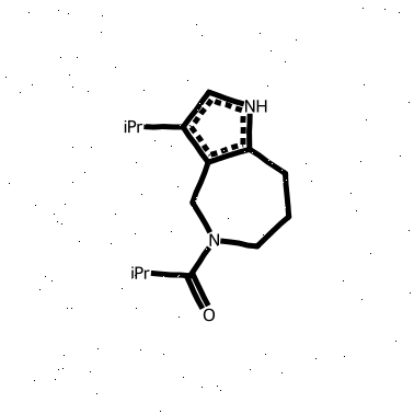 CC(C)C(=O)N1CCCc2[nH]cc(C(C)C)c2C1